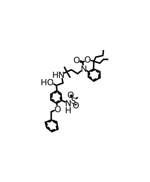 CCCC1(CCC)OC(=O)N(CCC(C)(C)NCC(O)c2ccc(OCc3ccccc3)c(NS(C)(=O)=O)c2)c2ccccc21